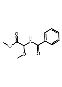 COC(=O)C(NC(=O)c1ccccc1)OC